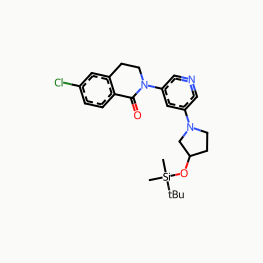 CC(C)(C)[Si](C)(C)OC1CCN(c2cncc(N3CCc4cc(Cl)ccc4C3=O)c2)C1